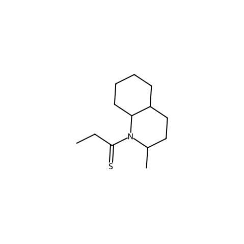 CCC(=S)N1C(C)CCC2CCCCC21